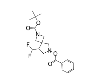 CC(C)(C)OC(=O)N1CC2(CN(OC(=O)c3ccccc3)CC2C(F)F)C1